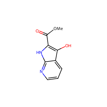 COC(=O)c1[nH]c2ncccc2c1O